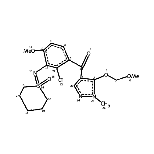 COCOc1c(C(=O)c2ccc(OC)c(N=S3(=O)CCCCC3)c2Cl)cnn1C